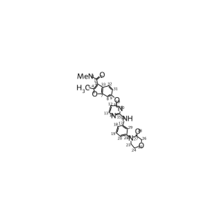 CNC(=O)c1c(C)oc2cc(Oc3ccnc(Nc4cccc(N5CCOCC5=O)c4)n3)ccc12